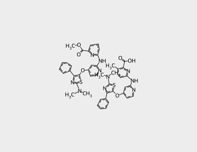 COC(=O)c1cccc(Nc2cc(Oc3sc(N(C)C)nc3-c3ccccc3)ccn2)n1.Cc1ccc(Nc2cc(Oc3sc(N(C)C)nc3-c3ccccc3)ccn2)nc1C(=O)O